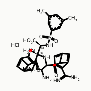 Cc1cc(C)cc(S(=O)(=O)N[C@H](C(=O)O)[C@](N)(NC(C(=O)C2C3=CC=C(C(=N)N)C2=C3)C(N)C(=O)O)C(=O)C2C3=CC=C(C#N)C2=C3)c1.Cl